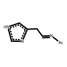 CC(=O)N=CCc1c[nH]cn1